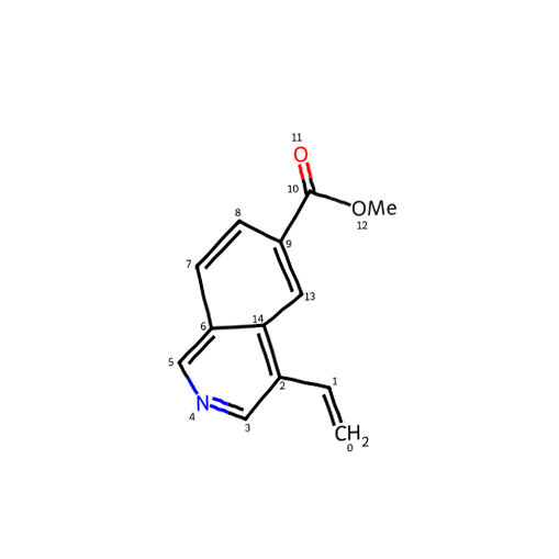 C=Cc1cncc2ccc(C(=O)OC)cc12